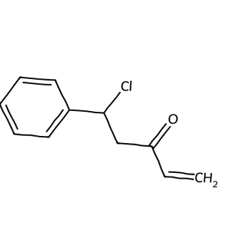 C=CC(=O)CC(Cl)c1ccccc1